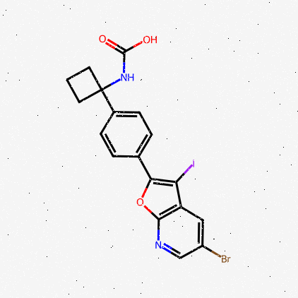 O=C(O)NC1(c2ccc(-c3oc4ncc(Br)cc4c3I)cc2)CCC1